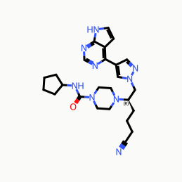 N#CCCC[C@H](Cn1cc(-c2ncnc3[nH]ccc23)cn1)N1CCN(C(=O)NC2CCCC2)CC1